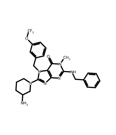 Cn1c(NCc2ccccc2)nc2nc(N3CCCC(N)C3)n(Cc3cccc(OC(F)(F)F)c3)c2c1=O